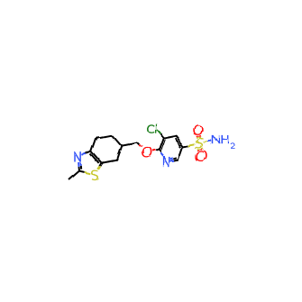 Cc1nc2c(s1)CC(COc1ncc(S(N)(=O)=O)cc1Cl)CC2